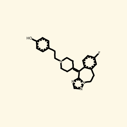 Oc1ccc(CCN2CCC(=C3c4ccc(F)cc4CCn4ncnc43)CC2)cc1